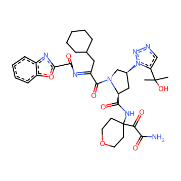 CC(C)(O)c1cnnn1[C@H]1C[C@@H](C(=O)NC2(C(=O)C(N)=O)CCOCC2)N(C(=O)/C(CC2CCCCC2)=N/C(=O)c2nc3ccccc3o2)C1